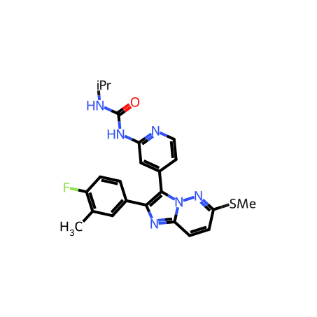 CSc1ccc2nc(-c3ccc(F)c(C)c3)c(-c3ccnc(NC(=O)NC(C)C)c3)n2n1